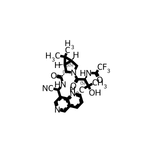 CC(C)(O)[C@H](NC(=O)C(F)(F)F)C(=O)N1C[C@H]2[C@@H]([C@H]1C(=O)NC(C#N)c1cncc3cccnc13)C2(C)C